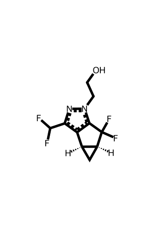 OCCn1nc(C(F)F)c2c1C(F)(F)[C@H]1C[C@@H]21